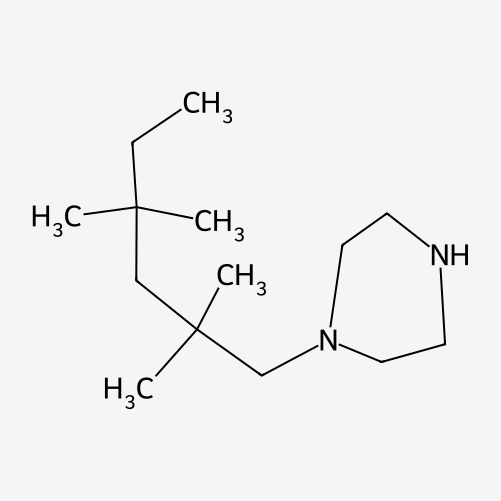 CCC(C)(C)CC(C)(C)CN1CCNCC1